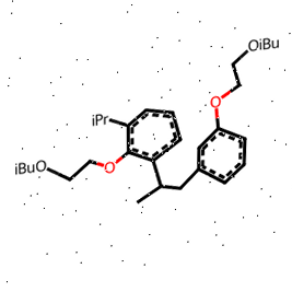 CC(C)COCCOc1cccc(CC(C)c2cccc(C(C)C)c2OCCOCC(C)C)c1